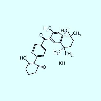 Cc1cc2c(cc1C(=O)c1ccc(C3=C(O)CCCC3=O)cc1)C(C)(C)CCC2(C)C.[KH]